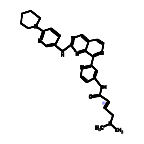 CN(C)C/C=C/C(=O)Nc1ccnc(-c2nccc3cnc(Nc4ccc(N5CCCCC5)nc4)nc23)c1